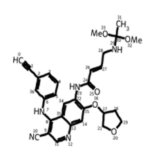 C#Cc1cccc(Nc2c(C#N)cnc3cc(OC4CCOC4)c(NC(=O)/C=C/CNC(C)(OC)OC)cc23)c1